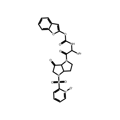 CCCC(NC(=O)Oc1cc2ccccc2o1)C(=O)N1CCC2C1C(=O)CN2S(=O)(=O)c1cccc[n+]1[O-]